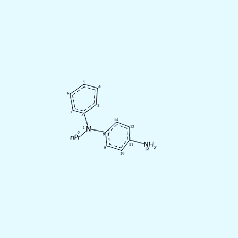 CCCN(c1ccccc1)c1ccc(N)cc1